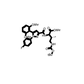 COC(=O)C(NC(=O)c1cc(-c2c(OC)cccc2OC)n(-c2ccc(F)cc2)n1)[C@H](C)CNC(=O)OC(C)(C)C